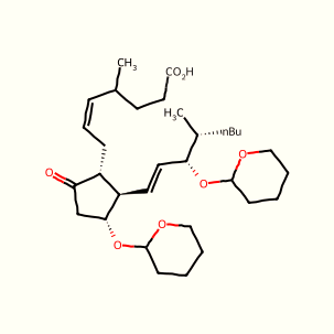 CCCC[C@@H](C)[C@@H](/C=C/[C@H]1[C@H](OC2CCCCO2)CC(=O)[C@@H]1C/C=C\C(C)CCC(=O)O)OC1CCCCO1